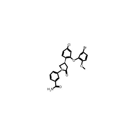 COc1ccc(Br)cc1Oc1cc(Cl)ccc1[C@H]1CC(=O)N(c2cccc(C(N)=O)c2)C1